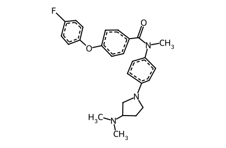 CN(C(=O)c1ccc(Oc2ccc(F)cc2)cc1)c1ccc(N2CCC(N(C)C)C2)cc1